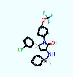 C[C@@H](NC1=C[C@H](c2cccc(Cl)c2)N(c2ccc(OC(F)(F)F)cc2)C1=O)c1ccccc1